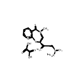 CC(CN(C)C)C1CN(C)C(=S)c2cccnc2O1.O=C(O)C(=O)O